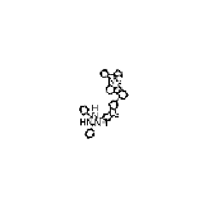 C1=C(n2c3ccccc3c3ccccc32)c2sc3cccc(-c4ccc5c(c4)sc4ccc(C6NC(c7ccccc7)NC(c7ccccc7)N6)cc45)c3c2CC1